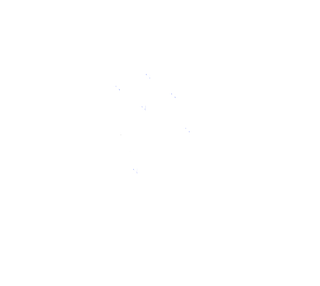 C=CC(=O)N1C[C@@H](F)COC[C@H]1c1cc(Cl)nc(-c2ncnc(N)n2)c1